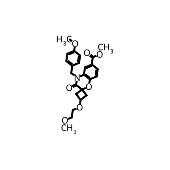 COCCOC1CC2(C1)Oc1ccc(C(=O)OC)cc1N(Cc1ccc(OC)cc1)C2=O